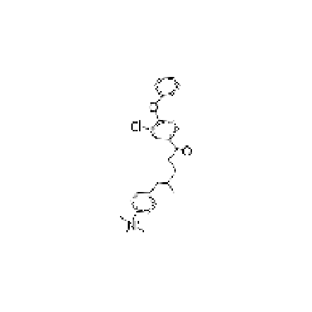 CC(CCC(=O)c1ccc(Oc2ccccc2)c(Cl)c1)Cc1ccc([N+](C)(C)C)cc1